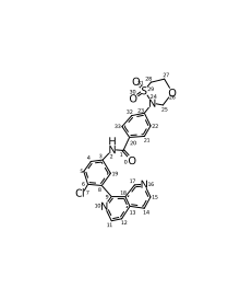 O=C(Nc1ccc(Cl)c(-c2nccc3ccncc23)c1)c1ccc(N2COCCS2(=O)=O)cc1